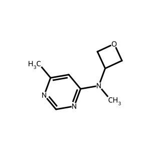 Cc1cc(N(C)C2COC2)ncn1